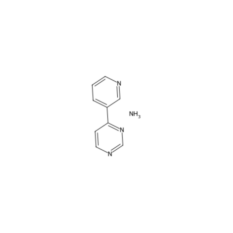 N.c1cncc(-c2ccncn2)c1